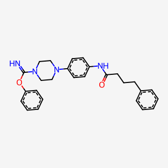 N=C(Oc1ccccc1)N1CCN(c2ccc(NC(=O)CCCc3ccccc3)cc2)CC1